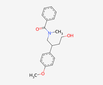 COc1ccc(C(CCO)CN(C)C(=O)c2ccccc2)cc1